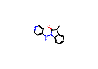 CC1C(=O)N(Nc2ccncc2)c2ccccc21